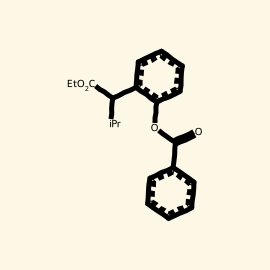 CCOC(=O)C(c1ccccc1OC(=O)c1ccccc1)C(C)C